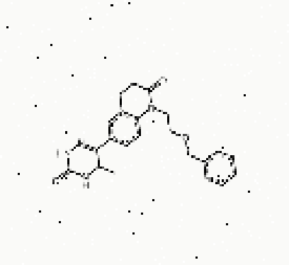 CC1NC(=O)NN=C1c1ccc2c(c1)CCC(=O)N2CCOCc1ccccc1